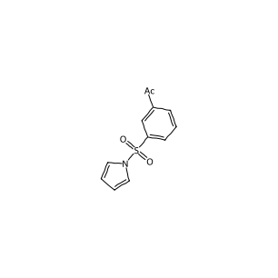 CC(=O)c1cccc(S(=O)(=O)n2cccc2)c1